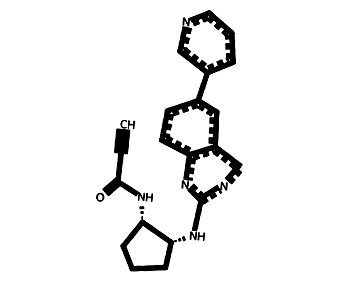 C#CC(=O)N[C@H]1CCC[C@H]1Nc1ncc2cc(-c3cccnc3)ccc2n1